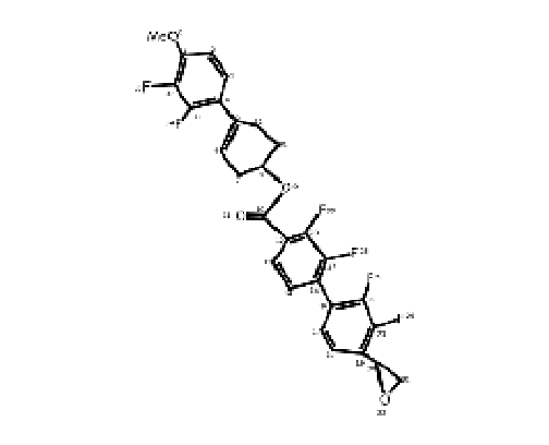 COc1ccc(C2=CCC(OC(=O)c3ccc(-c4ccc(C5CO5)c(F)c4F)c(F)c3F)CC2)c(F)c1F